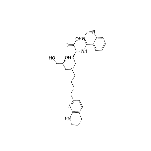 O=C(O)[C@H](CCN(CCCCc1ccc2c(n1)NCCC2)C[C@H](O)CO)Nc1ncnc2ccccc12